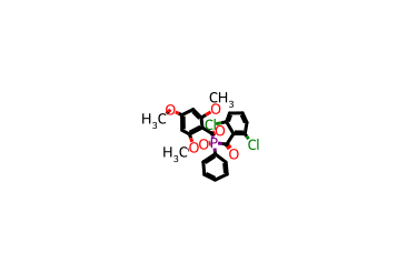 COc1cc(OC)c(C(=O)P(=O)(C(=O)c2c(Cl)cccc2Cl)c2ccccc2)c(OC)c1